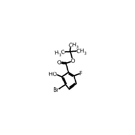 CC(C)(C)OC(=O)c1c(F)ccc(Br)c1O